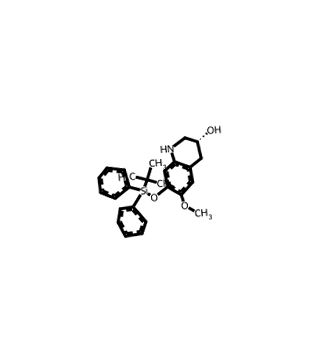 COc1cc2c(cc1O[Si](c1ccccc1)(c1ccccc1)C(C)(C)C)NC[C@H](O)C2